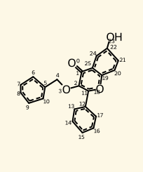 O=c1c(OCc2ccccc2)c(-c2ccccc2)oc2ccc(O)cc12